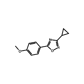 COc1ccc(-c2nc(C3CC3)no2)cc1